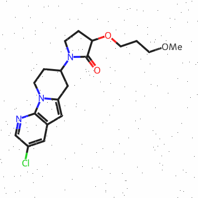 COCCCOC1CCN(C2CCn3c(cc4cc(Cl)cnc43)C2)C1=O